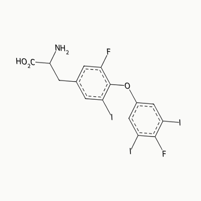 NC(Cc1cc(F)c(Oc2cc(I)c(F)c(I)c2)c(I)c1)C(=O)O